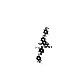 Cc1ccc(N=Nc2ccc(N=Nc3c(S(=O)(=O)O)cc4cc(N=Nc5ccc(O)cc5)ccc4c3O)c(O)c2)cc1